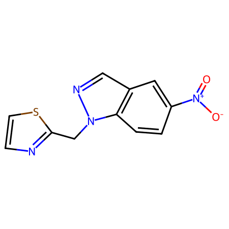 O=[N+]([O-])c1ccc2c(cnn2Cc2nccs2)c1